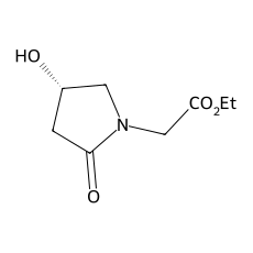 CCOC(=O)CN1C[C@@H](O)CC1=O